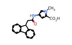 Cn1cc(NC(=O)CC2c3ccccc3-c3ccccc32)cc1C(=O)O